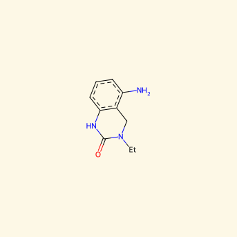 CCN1Cc2c(N)cccc2NC1=O